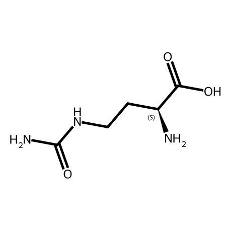 NC(=O)NCC[C@H](N)C(=O)O